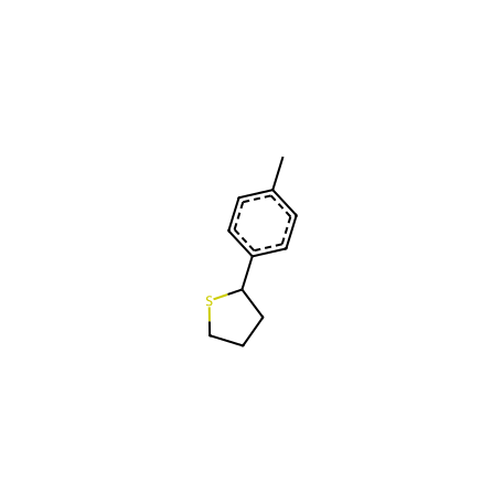 Cc1ccc(C2CCCS2)cc1